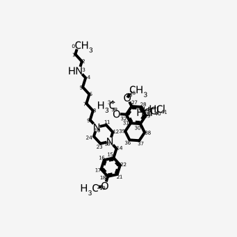 CCCNCCCCCCN1CCN(Cc2ccc(OC)cc2)CC1.COc1ccc2c(c1OC)CCCC2.Cl.Cl.Cl